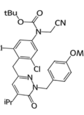 COc1ccc(Cn2nc(Cc3c(Cl)cc(N(CC#N)C(=O)OC(C)(C)C)cc3Cl)cc(C(C)C)c2=O)cc1